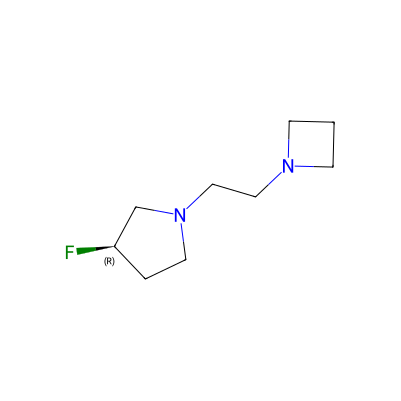 F[C@@H]1CCN(CCN2CCC2)C1